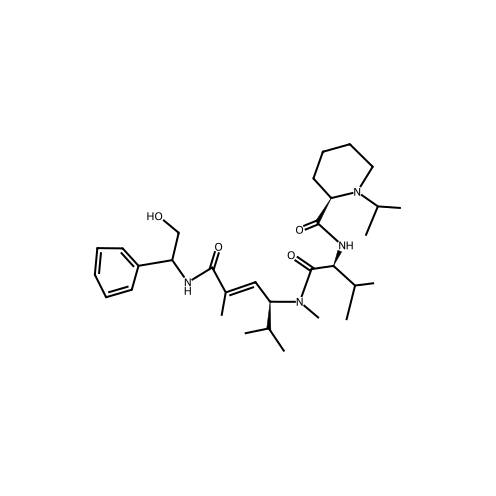 C/C(=C\[C@H](C(C)C)N(C)C(=O)[C@@H](NC(=O)[C@H]1CCCCN1C(C)C)C(C)C)C(=O)NC(CO)c1ccccc1